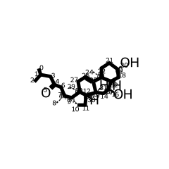 CC(C)CC(=O)C[C@@H](C)[C@H]1CC[C@H]2[C@@H]3C[C@H](O)[C@H]4C[C@@H](O)CC[C@]4(C)C3=CC[C@]12C